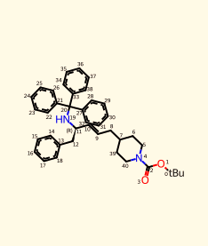 CC(C)(C)OC(=O)N1CCC(CC=C[C@@H](Cc2ccccc2)NC(c2ccccc2)(c2ccccc2)c2ccccc2)CC1